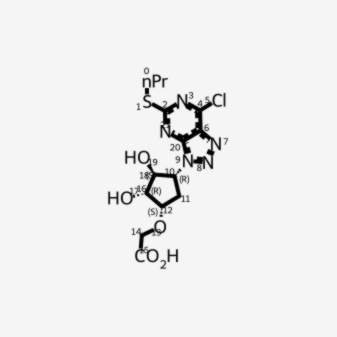 CCCSc1nc(Cl)c2nnn([C@@H]3C[C@H](OCC(=O)O)[C@H](O)[C@H]3O)c2n1